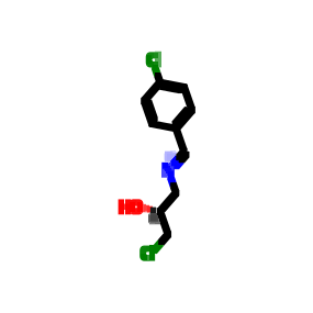 O[C@@H](CCl)C/N=C/c1ccc(Cl)cc1